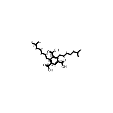 CC(C)CCCCCc1c(C(=O)O)cc(C(=O)O)c(CCCCCC(C)C)c1C(=O)O